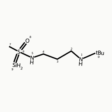 CC(C)(C)NCCCNS(C)(=O)=[SiH2]